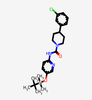 CC(C)(C)[Si](C)(C)Oc1ccc(NC(=O)N2CCC(c3cccc(Cl)c3)CC2)nc1